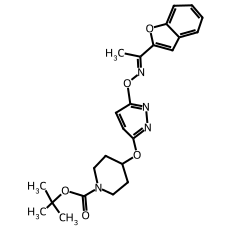 CC(=NOc1ccc(OC2CCN(C(=O)OC(C)(C)C)CC2)nn1)c1cc2ccccc2o1